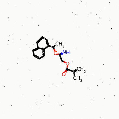 C=C(C)C(=O)OCC(=N)OC(C)c1cccc2ccccc12